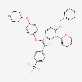 FC(F)(F)c1ccc(-c2sc3c(C4=CCCCO4)c(OCc4ccccc4)ccc3c2Oc2ccc(OC3CCNCC3)cc2)cc1